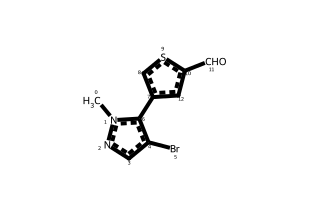 Cn1ncc(Br)c1-c1csc(C=O)c1